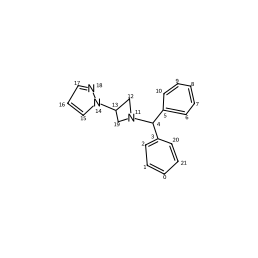 c1ccc(C(c2ccccc2)N2CC(n3cccn3)C2)cc1